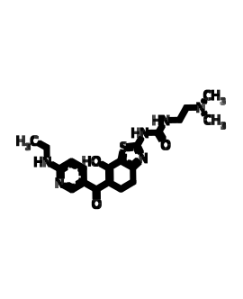 CCNc1ccc(C(=O)C2=C(O)c3sc(NC(=O)NCCN(C)C)nc3CC2)cn1